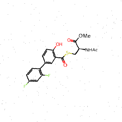 COC(=O)[C@H](CSC(=O)c1cc(-c2ccc(F)cc2F)ccc1O)NC(C)=O